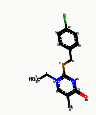 CCc1cn(CC(=O)O)c(SCc2ccc(F)cc2)nc1=O